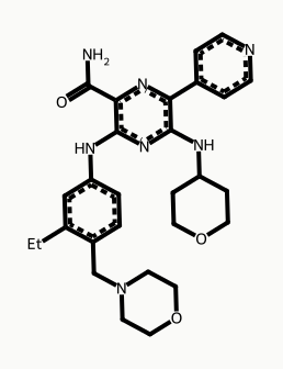 CCc1cc(Nc2nc(NC3CCOCC3)c(-c3ccncc3)nc2C(N)=O)ccc1CN1CCOCC1